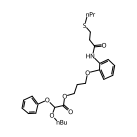 CCCCOC(Oc1ccccc1)C(=O)OCCCOc1ccccc1NC(=O)CCSCCC